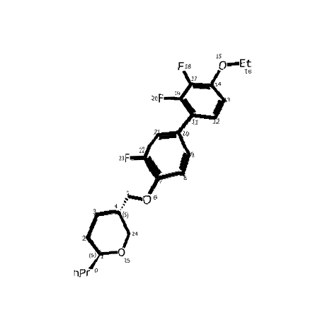 CCC[C@H]1CC[C@H](COc2ccc(-c3ccc(OCC)c(F)c3F)cc2F)CO1